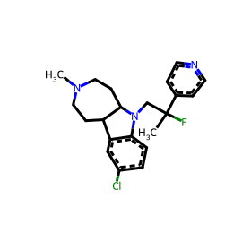 CN1CCC2c3cc(Cl)ccc3N(CC(C)(F)c3ccncc3)C2CC1